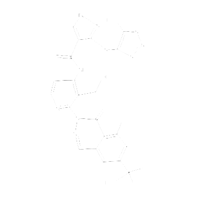 Cc1[nH]nnc1Nc1n[nH]cc1C(=O)Nc1ccnc(-n2ncc3cc(C(C)(C)C)cc(F)c3c2=O)c1CO